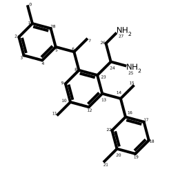 Cc1cccc(C(C)c2cc(C)cc(C(C)c3cccc(C)c3)c2C(N)CN)c1